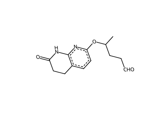 CC(CCC=O)Oc1ccc2c(n1)NC(=O)CC2